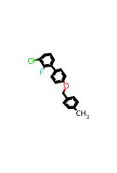 Cc1ccc(COc2ccc(-c3cccc(Cl)c3F)cc2)cc1